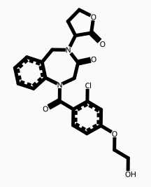 O=C1OCCC1N1Cc2ccccc2N(C(=O)c2ccc(OCCO)cc2Cl)CC1=O